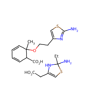 CC1(OCCc2csc(N)n2)C=CC=CC1C(=O)O.CCC1(N)NC(CC(=O)O)=CS1